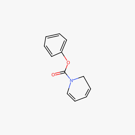 O=C(Oc1ccccc1)N1C=CC=CC1